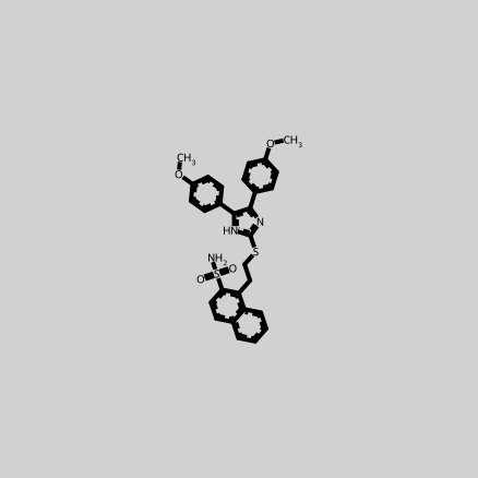 COc1ccc(-c2nc(SCCc3c(S(N)(=O)=O)ccc4ccccc34)[nH]c2-c2ccc(OC)cc2)cc1